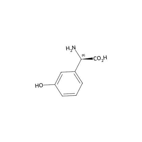 N[C@@H](C(=O)O)c1cccc(O)c1